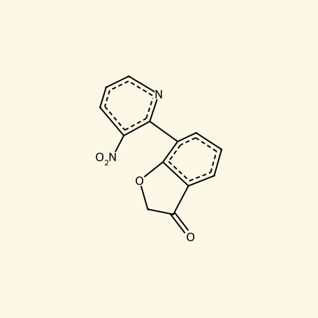 O=C1COc2c1cccc2-c1ncccc1[N+](=O)[O-]